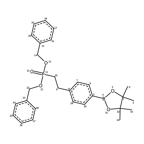 CC1(C)OB(c2ccc(CCP(=O)(OCc3ccccc3)OCc3ccccc3)cc2)OC1(C)C